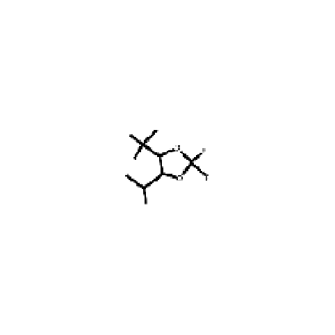 CC(C)C1OC(F)(F)OC1C(C)(C)C